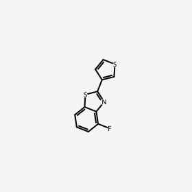 Fc1cccc2sc(-c3ccsc3)nc12